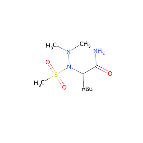 CCCCC(C(N)=O)N(N(C)C)S(C)(=O)=O